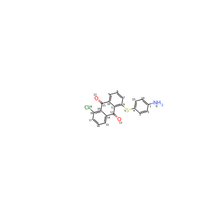 Nc1ccc(Sc2cccc3c2C(=O)c2cccc(Cl)c2C3=O)cc1